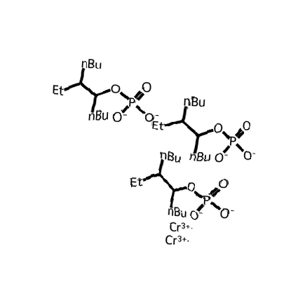 CCCCC(CC)C(CCCC)OP(=O)([O-])[O-].CCCCC(CC)C(CCCC)OP(=O)([O-])[O-].CCCCC(CC)C(CCCC)OP(=O)([O-])[O-].[Cr+3].[Cr+3]